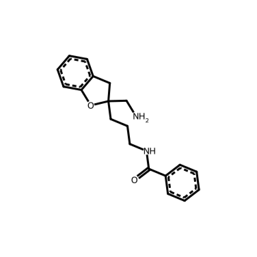 NCC1(CCCNC(=O)c2ccccc2)Cc2ccccc2O1